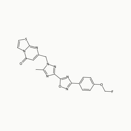 Cc1nc(-c2nc(-c3ccc(OCF)cc3)no2)nn1Cc1cc(=O)n2ccsc2n1